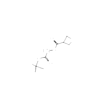 CC(C)(C)OC(=O)NOC(=O)C1[CH]OC1